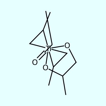 CC1C[O][Ti]234(=[O])([CH2][CH]2C)([CH2][CH]3C)([CH2][CH]4C)[O]1